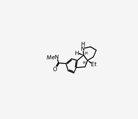 CC[C@]12CCCN[C@H]1c1cc(C(=O)NC)ccc1C2